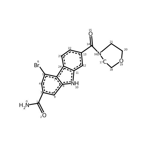 NC(=O)c1cc(Br)c2c(c1)[nH]c1cc(C(=O)N3CCOCC3)ccc12